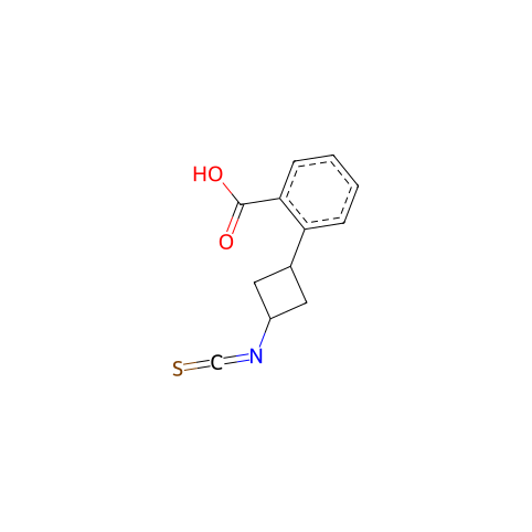 O=C(O)c1ccccc1C1CC(N=C=S)C1